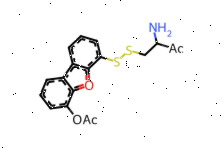 CC(=O)Oc1cccc2c1oc1c(SSCC(N)C(C)=O)cccc12